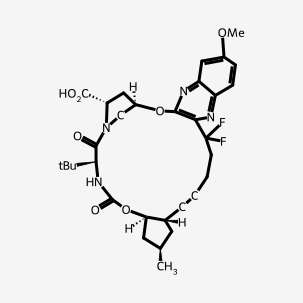 COc1ccc2nc3c(nc2c1)O[C@@H]1C[C@@H](C(=O)O)N(C1)C(=O)[C@H](C(C)(C)C)NC(=O)O[C@@H]1C[C@H](C)C[C@H]1CCCCC3(F)F